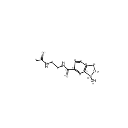 CC(=O)NCCNC(=O)c1ccc2c(c1)B(O)OC2